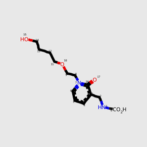 O=C(O)NCc1cccn(CCOCCCCO)c1=O